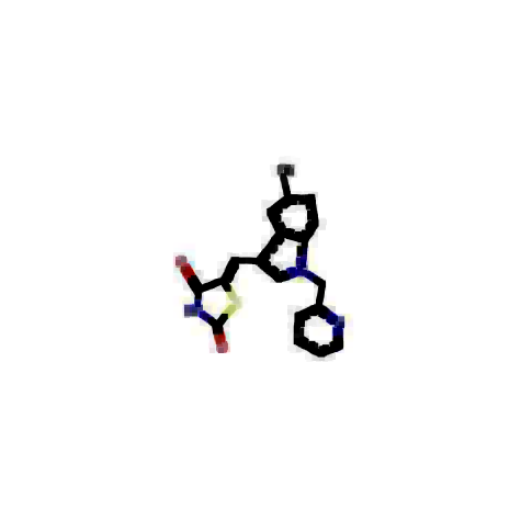 N#Cc1ccc2c(c1)c(/C=C1\SC(=O)NC1=O)cn2Cc1ccccn1